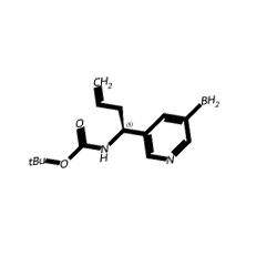 Bc1cncc([C@H](CC=C)NC(=O)OC(C)(C)C)c1